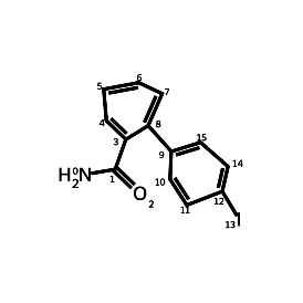 NC(=O)c1ccccc1-c1ccc(I)cc1